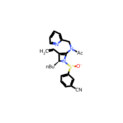 C=CC1=C(N(Cc2ccccn2)C(C)=O)N([S+]([O-])c2cccc(C#N)c2)[C@H]1CCCC